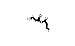 CCCC(=O)OC(=O)CCS